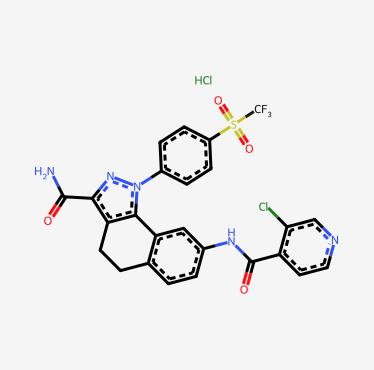 Cl.NC(=O)c1nn(-c2ccc(S(=O)(=O)C(F)(F)F)cc2)c2c1CCc1ccc(NC(=O)c3ccncc3Cl)cc1-2